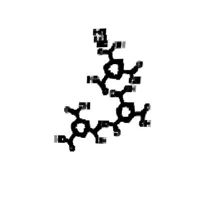 Cl.Cl.Cl.O=C(O)c1cc(C(=O)O)cc(C(=O)O)c1.O=C(O)c1cc(C(=O)O)cc(C(=O)O)c1.O=C(O)c1cc(C(=O)O)cc(C(=O)O)c1